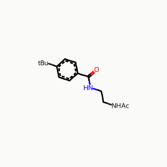 CC(=O)NCCNC(=O)c1ccc(C(C)(C)C)cc1